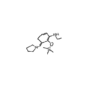 CCNC1=C(O[Si](C)(C)C)C(=CN2CCCC2)CC=C1